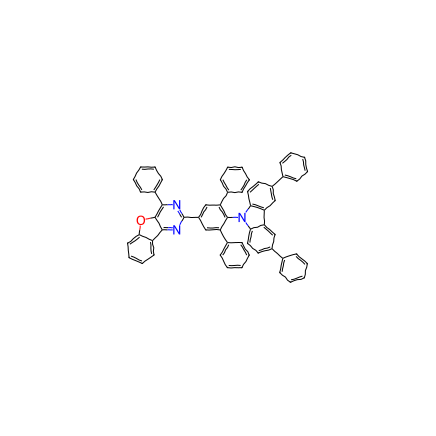 c1ccc(-c2ccc3c(c2)c2cc(-c4ccccc4)ccc2n3-c2c(-c3ccccc3)cc(-c3nc(-c4ccccc4)c4oc5ccccc5c4n3)cc2-c2ccccc2)cc1